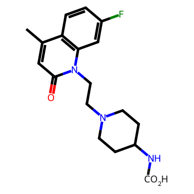 Cc1cc(=O)n(CCN2CCC(NC(=O)O)CC2)c2cc(F)ccc12